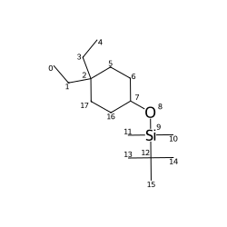 CCC1(CC)CCC(O[Si](C)(C)C(C)(C)C)CC1